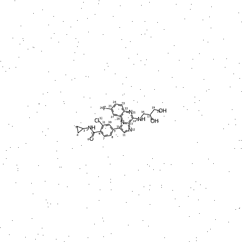 O=C(NC1CC1)c1ccc(-c2cnc3c(NCC(O)CO)nc4ccc(F)cc4n23)cc1Cl